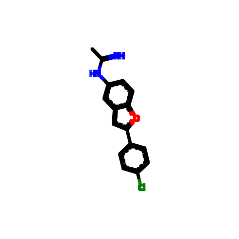 CC(=N)Nc1ccc2oc(-c3ccc(Cl)cc3)cc2c1